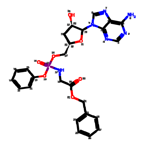 Nc1ncnc2c1ncn2C1O[C@H](COP(=O)(NCC(=O)OCc2ccccc2)Oc2ccccc2)C[C@@H]1O